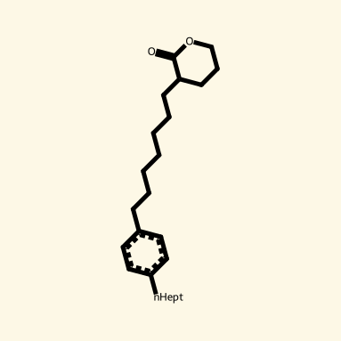 CCCCCCCc1ccc(CCCCCCCC2CCCOC2=O)cc1